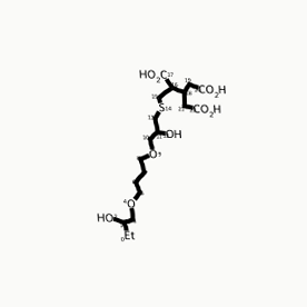 CCC(O)COCCCCOCC(O)CSCC(C(=O)O)C(CC(=O)O)CC(=O)O